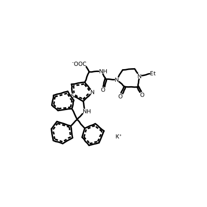 CCN1CCN(C(=O)NC(C(=O)[O-])c2csc(NC(c3ccccc3)(c3ccccc3)c3ccccc3)n2)C(=O)C1=O.[K+]